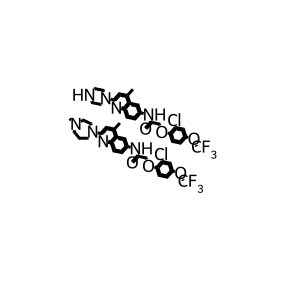 Cc1cc(N2CCCN(C)CC2)nc2ccc(NC(=O)COc3ccc(OC(F)(F)F)cc3Cl)cc12.Cc1cc(N2CCNCC2)nc2ccc(NC(=O)COc3ccc(OC(F)(F)F)cc3Cl)cc12